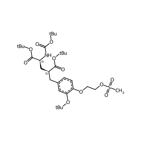 CC(C)(C)OC(=O)N[C@@H](C[C@H](Cc1ccc(OCCOS(C)(=O)=O)c(OC(C)(C)C)c1)C(=O)OC(C)(C)C)C(=O)OC(C)(C)C